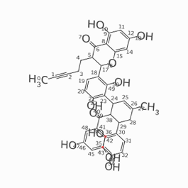 CC#CCCC1C(=O)c2c(O)cc(O)cc2OC1c1ccc(O)c(C2C=C(C)CC(c3ccc(O)cc3O)C2C(=O)c2cc(O)cc(O)c2)c1O